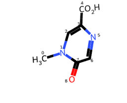 Cn1cc(C(=O)O)ncc1=O